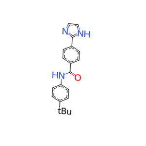 CC(C)(C)c1ccc(NC(=O)c2ccc(-c3ncc[nH]3)cc2)cc1